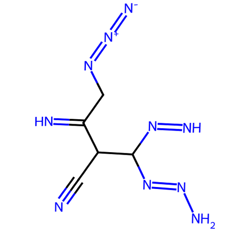 N#CC(C(=N)CN=[N+]=[N-])C(N=N)N=NN